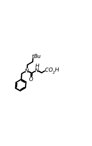 CC(C)(C)CCN(Cc1ccccc1)C(=O)NCC(=O)O